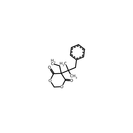 CCC1(C(C)(C)Cc2ccccc2)C(=O)OCOC1=O